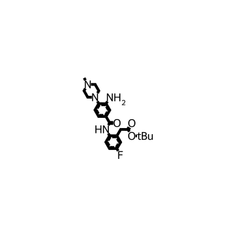 CN1CCN(c2ccc(C(=O)Nc3ccc(F)cc3CC(=O)OC(C)(C)C)cc2N)CC1